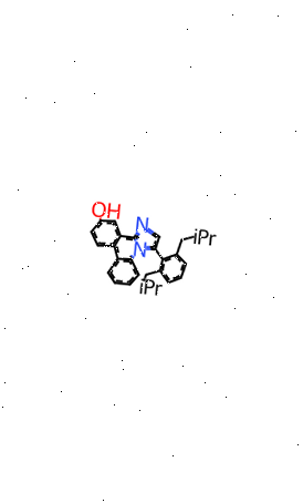 CC(C)Cc1cccc(CC(C)C)c1-c1cnc2c3cc(O)ccc3c3ccccc3n12